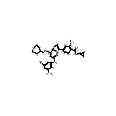 Cc1cc(F)cc(Sc2cc(NCC3CCSCC3)c3ncc(-c4ccc(C(=O)NC5CC5)c(C)c4)n3n2)c1